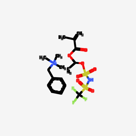 C=C(C)C(=O)OC(C)OS(=O)(=O)NS(=O)(=O)C(F)(F)F.C[N+](C)(C)Cc1ccccc1